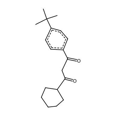 CC(C)(C)c1ccc(C(=O)CC(=O)C2CCCCC2)cc1